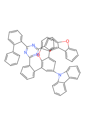 c1ccc(-c2ccccc2-c2nc(-c3ccc4oc5ccccc5c4c3)nc(-c3ccccc3-c3cc(-n4c5ccccc5c5ccccc54)cc4c3oc3ccccc34)n2)cc1